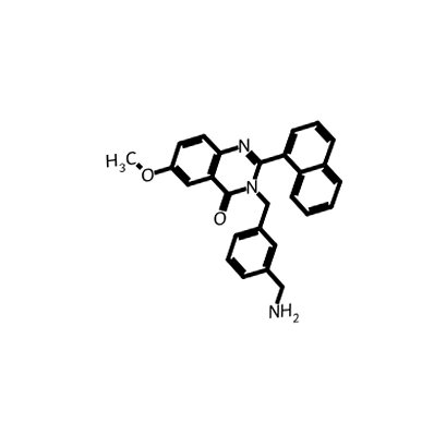 COc1ccc2nc(-c3cccc4ccccc34)n(Cc3cccc(CN)c3)c(=O)c2c1